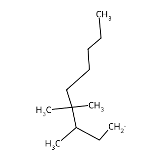 [CH2]CC(C)C(C)(C)CCCCC